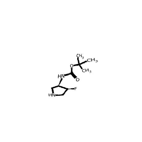 CC(C)(C)OC(=O)N[C@@H]1CNC[C@@H]1F